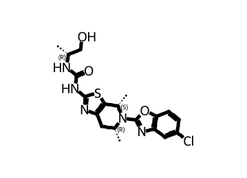 C[C@H](CO)NC(=O)Nc1nc2c(s1)[C@H](C)N(c1nc3cc(Cl)ccc3o1)[C@H](C)C2